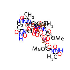 COC[C@H]1O[C@@H](n2cc(C)c(=O)[nH]c2=O)CC1OP(=S)(OCCOP(=S)(OC[C@@H]1O[C@H](n2cc(C)c(=O)[nH]c2=O)CC1OC)OC1C[C@H](n2cc(C)c(=O)[nH]c2=O)O[C@@H]1COP(=O)(S)OC)OC[C@H]1O[C@@H](n2cc(C)c(=O)[nH]c2=O)CC1OC